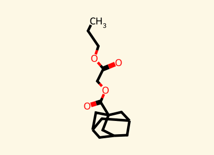 CCCOC(=O)COC(=O)C12CC3CC(CC(C3)C1)C2